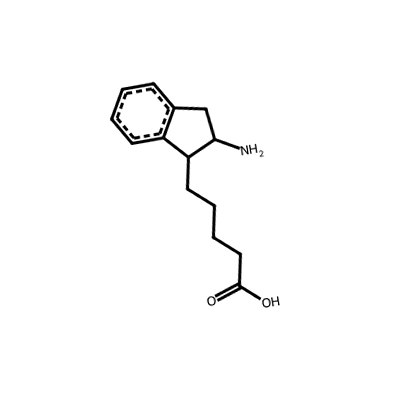 NC1Cc2ccccc2C1CCCCC(=O)O